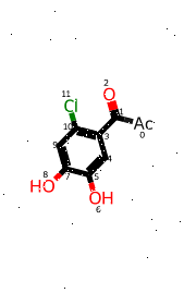 CC(=O)C(=O)c1cc(O)c(O)cc1Cl